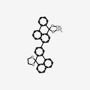 COC1(OC)c2ccccc2-c2cccc3c(-c4ccc5c(c4)-c4cccc6cccc(c46)C54OCCO4)ccc1c23